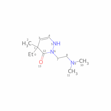 CCC1(C)C=CNN(CCN(C)C)C1=O